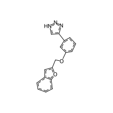 c1cc(OCc2cc3ccccc3o2)cc(-c2c[nH]nn2)c1